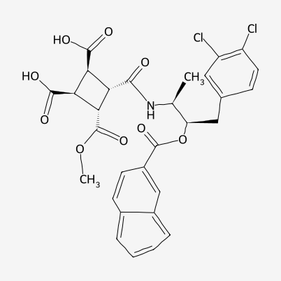 COC(=O)[C@@H]1[C@@H](C(=O)O)[C@@H](C(=O)O)[C@@H]1C(=O)N[C@@H](C)[C@@H](Cc1ccc(Cl)c(Cl)c1)OC(=O)c1ccc2ccccc2c1